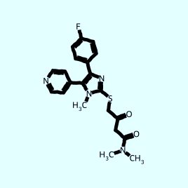 CN(C)C(=O)CC(=O)CSc1nc(-c2ccc(F)cc2)c(-c2ccncc2)n1C